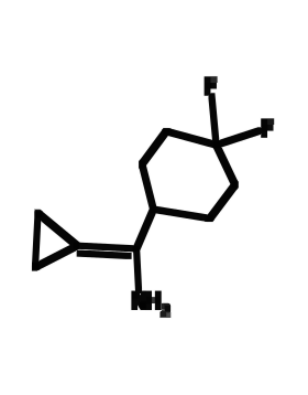 NC(=C1CC1)C1CCC(F)(F)CC1